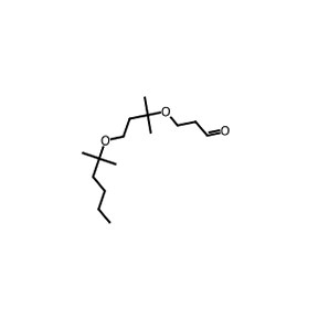 CCCCC(C)(C)OCCC(C)(C)OCCC=O